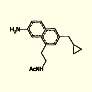 CC(=O)NCCc1cc(CC2CC2)cc2ccc(N)cc12